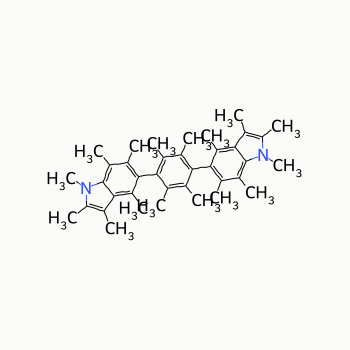 Cc1c(C)c(-c2c(C)c(C)c3c(c2C)c(C)c(C)n3C)c(C)c(C)c1-c1c(C)c(C)c2c(c1C)c(C)c(C)n2C